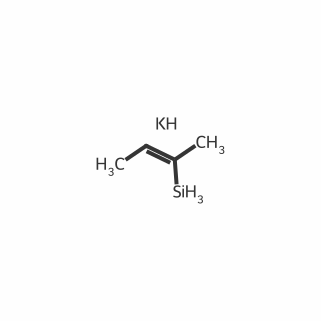 CC=C(C)[SiH3].[KH]